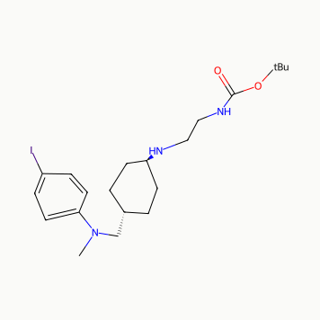 CN(C[C@H]1CC[C@H](NCCNC(=O)OC(C)(C)C)CC1)c1ccc(I)cc1